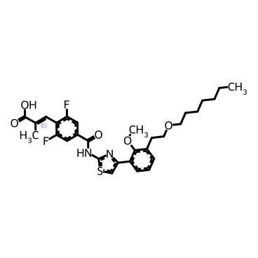 CCCCCCCOCCc1cccc(-c2csc(NC(=O)c3cc(F)c(/C=C(\C)C(=O)O)c(F)c3)n2)c1OC